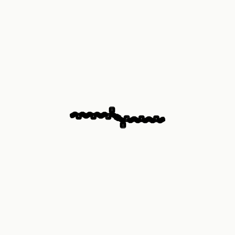 CCOCCCOCCCOC(=O)C#CC(=O)OCCCOCCCOCC